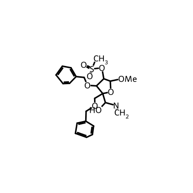 C=NC(O)C1(COCc2ccccc2)OC(OC)C(OS(C)(=O)=O)C1OCc1ccccc1